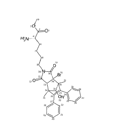 COC(=O)[C@@H](N)CCCCN1C(=O)C2C3(C)C(c4ccccc4)=C(c4ccccc4)C(C)(C3O)C2(Br)C1=O